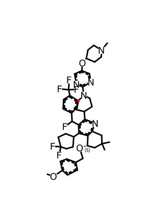 COc1ccc(CO[C@H]2CC(C)(C)Cc3nc(C4CCN(c5ncc(OC6CCN(C)CC6)cn5)CC4)c(C(F)c4ccc(C(F)(F)F)cc4)c(C4CCC(F)(F)CC4)c32)cc1